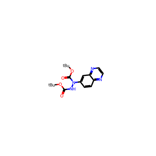 CC(C)(C)OC(=O)NN(C(=O)OC(C)(C)C)c1ccc2nccnc2c1